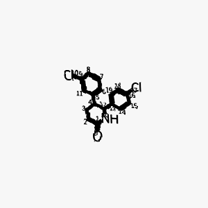 O=C1CCC(c2cccc(Cl)c2)C(c2ccc(Cl)cc2)N1